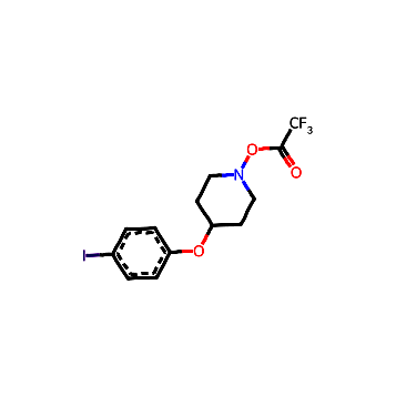 O=C(ON1CCC(Oc2ccc(I)cc2)CC1)C(F)(F)F